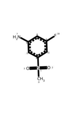 CS(=O)(=O)c1cc(N)cc(F)c1